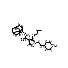 CCCOc1c(C(=O)NC2C3CC4CC(C3)CC2C4)cnn1CCC1CCNCC1